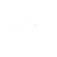 COC(=O)c1csc(C2(C)COc3cc4c(cc32)C(C)(C)CCC4(C)C)c1